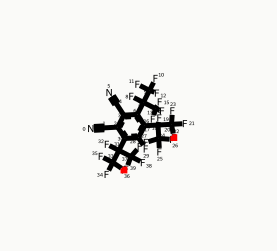 N#Cc1c(C#N)c(C(F)(C(F)(F)F)C(F)(F)F)c(C(F)(C(F)(F)F)C(F)(F)F)c(F)c1C(F)(C(F)(F)F)C(F)(F)F